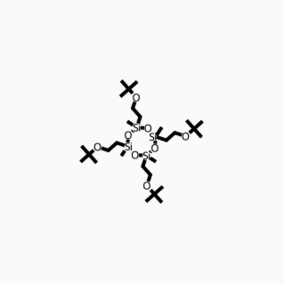 CC(C)(C)OCC[Si]1(C)O[Si](C)(CCOC(C)(C)C)O[Si](C)(CCOC(C)(C)C)O[Si](C)(CCOC(C)(C)C)O1